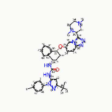 Cc1ccc(-n2nc(C(C)(C)C)cc2NC(=O)N[C@H]2CC[C@@H](Oc3ccc4nnc(C5CN(C)CCN5C)n4c3)c3ccccc32)cc1